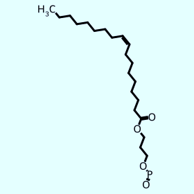 CCCCCCCC/C=C\CCCCCCCC(=O)OCCCOP=O